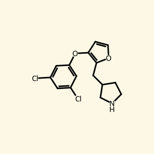 Clc1cc(Cl)cc(Oc2ccoc2CC2CCNC2)c1